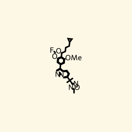 COc1cc(-c2cnn3cc(C(C)(C)c4noc(C)n4)ccc23)cc(OCF)c1C(=O)CCCC1CC1